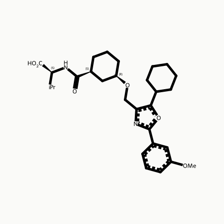 COc1cccc(-c2nc(CO[C@@H]3CCC[C@H](C(=O)N[C@H](C(=O)O)C(C)C)C3)c(C3CCCCC3)o2)c1